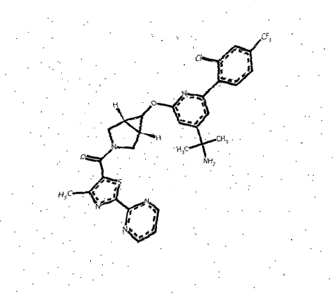 Cc1nc(-c2ncccn2)sc1C(=O)N1C[C@@H]2C(Oc3cc(C(C)(C)N)cc(-c4ccc(C(F)(F)F)cc4Cl)n3)[C@@H]2C1